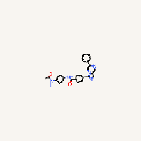 CC(=O)Nc1ccc(NC(=O)c2ccc(-c3ncc4cnc(-c5ccccc5)cn34)cc2)cc1